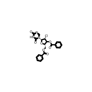 O=C(OC[C@@H]1O[C@H](n2cnc(=O)[nH]c2=O)[C@H](Cl)C1OC(=O)c1ccccc1)c1ccccc1